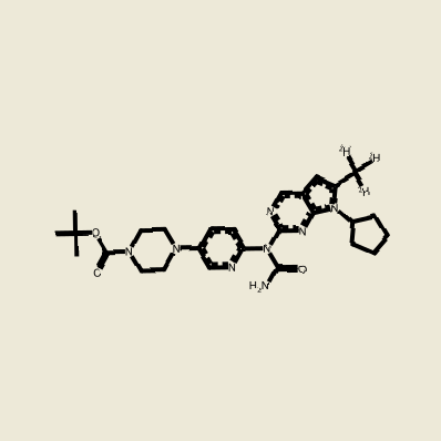 [2H]C([2H])([2H])c1cc2cnc(N(C(N)=O)c3ccc(N4CCN(C(=O)OC(C)(C)C)CC4)cn3)nc2n1C1CCCC1